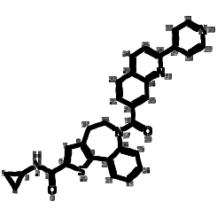 O=C(NC1CC1)c1cc2c(s1)-c1ccccc1N(C(=O)c1ccc3ccc(-c4ccncc4)nc3c1)CC2